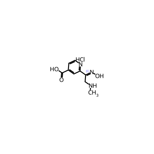 CNC/C(=N\O)c1cc(C(=O)O)ccn1.Cl